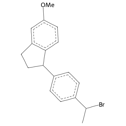 COc1ccc2c(c1)CCC2c1ccc(C(C)Br)cc1